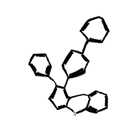 c1ccc(-c2ccc(-c3c(-c4ccccc4)ccc4sc5ccccc5c34)cc2)cc1